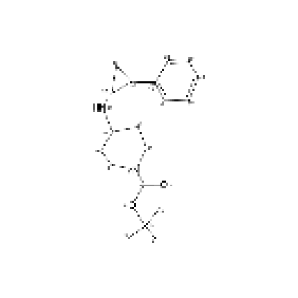 CC(C)(C)OC(=O)N1CCC(N[C@@H]2C[C@H]2c2ccccc2)CC1